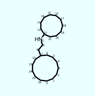 C1CCCCCCC(CCNC2CCCCCCCCCC2)CCCCC1